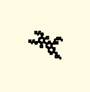 CCNc1nc(-c2c(Cl)c(OC)cc(OC)c2Cl)cc2cnc(SC)nc12